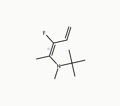 C=C/C(F)=C(/C)N(C)C(C)(C)C